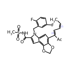 C/C=C\C=C(/C(C)=O)c1cc2c(cc(C(=O)NS(C)(=O)=O)n2Cc2cc(F)ccc2F)c2c1OCO2